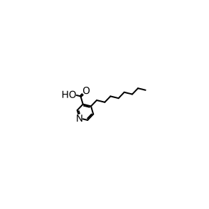 CCCCCCCCc1ccncc1C(=O)O